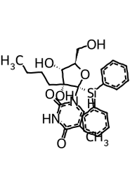 CCCC[C@@]1(O)[C@H](O)[C@@H](CO)O[C@]1(n1cc(C)c(=O)[nH]c1=O)[SiH](c1ccccc1)c1ccccc1